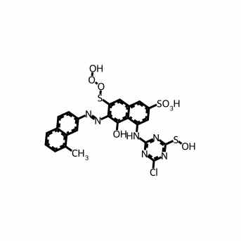 Cc1cccc2ccc(N=Nc3c(SOOO)cc4cc(S(=O)(=O)O)cc(Nc5nc(Cl)nc(SO)n5)c4c3O)cc12